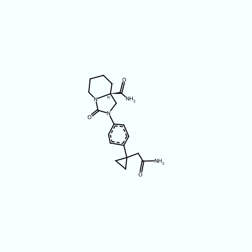 NC(=O)CC1(c2ccc(N3C[C@@]4(C(N)=O)[CH]CCCN4C3=O)cc2)CC1